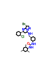 Cc1cc(C)c(NC(=O)Nc2cccc(CNc3cc(-c4ccccc4Cl)nc4c(Br)cnn34)c2)c(C)c1